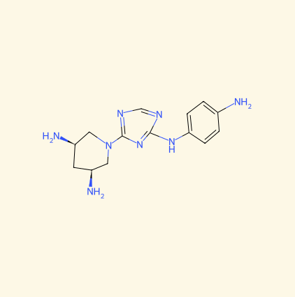 Nc1ccc(Nc2ncnc(N3C[C@H](N)C[C@H](N)C3)n2)cc1